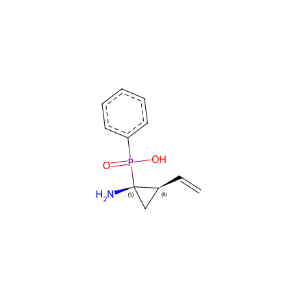 C=C[C@H]1C[C@]1(N)P(=O)(O)c1ccccc1